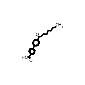 CCCCCCCCC(=O)c1ccc(-c2ccc(C(=O)O)cc2)cc1